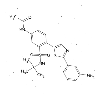 CC(=O)Nc1ccc(-c2cnc(-c3cccc(N)c3)s2)c(S(=O)(=O)NC(C)(C)C)c1